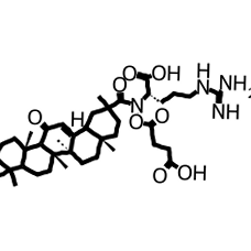 CC1(C(=O)N(OC(=O)CCC(=O)O)[C@@H](CCCNC(=N)N)C(=O)O)CC[C@]2(C)CC[C@]3(C)C(=CC(=O)C4[C@@]5(C)CCCC(C)(C)C5CC[C@]43C)[C@@H]2C1